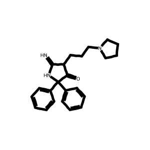 N=C1NC(c2ccccc2)(c2ccccc2)C(=O)C1CCCN1CCCC1